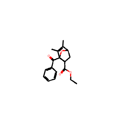 CCOC(=O)C1CC2OC1(C(=O)c1ccccc1)C(C)=C2C